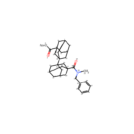 COC(=O)C12CC3CC(C1)CC(C14CC5CC(CC(C(=O)N(C)Cc6ccccc6)(C5)C1)C4)(C3)C2